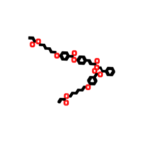 C=CC(=O)OCCCCCCOc1ccc(C(=O)Oc2ccc(/C=C/C(=O)OC[C@H](OC(=O)c3ccc(OCCCCCCOC(=O)C=C)cc3)c3ccccc3)cc2)cc1